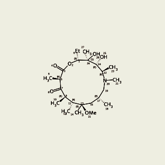 CC[C@H]1OC(=O)[C@H](C)C(=O)[C@H](C)[C@@H](C)[C@](C)(OC)C[C@@H](C)CN(C)[C@H](C)[C@@H](O)[C@]1(C)O